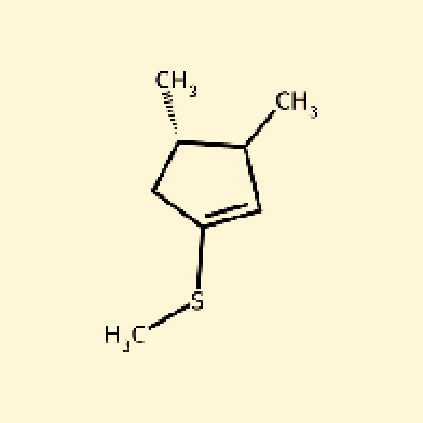 CSC1=CC(C)[C@@H](C)C1